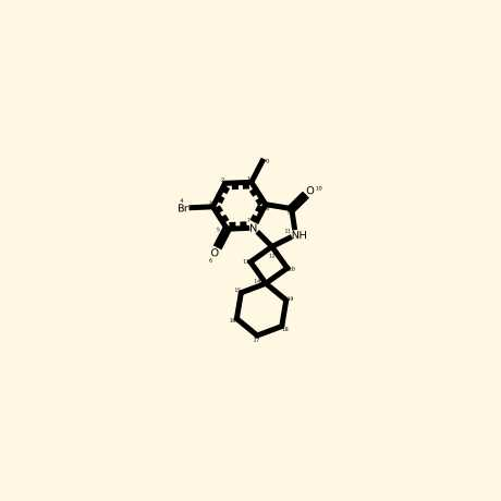 Cc1cc(Br)c(=O)n2c1C(=O)NC21CC2(CCCCC2)C1